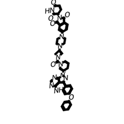 Nc1ncnc2c1c(-c1ccc(Oc3ccccc3)cc1)nn2[C@@H]1CCCN(C(=O)N2CC(N3CCN(c4ccc5c(c4)C(=O)N(C4CCC(=O)NC4=O)C5=O)CC3)C2)C1